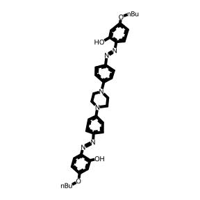 CCCCOc1ccc(/N=N/c2ccc(N3CCN(c4ccc(/N=N/c5ccc(OCCCC)cc5O)cc4)CC3)cc2)c(O)c1